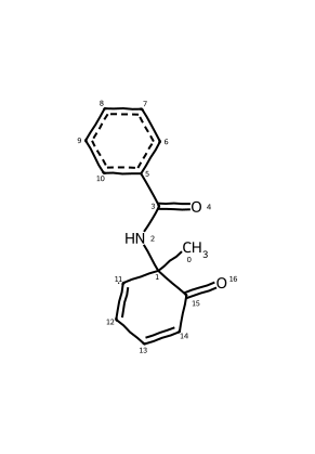 CC1(NC(=O)c2ccccc2)[C]=CC=CC1=O